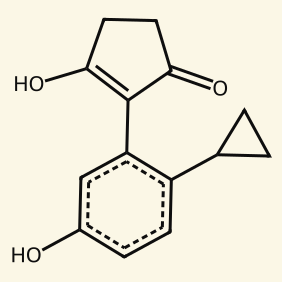 O=C1CCC(O)=C1c1cc(O)ccc1C1CC1